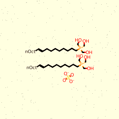 CCCCCCCCC=CCCCCCCCC[P+](CO)(CO)CO.CCCCCCCCC=CCCCCCCCC[P+](CO)(CO)CO.O=S(=O)([O-])[O-]